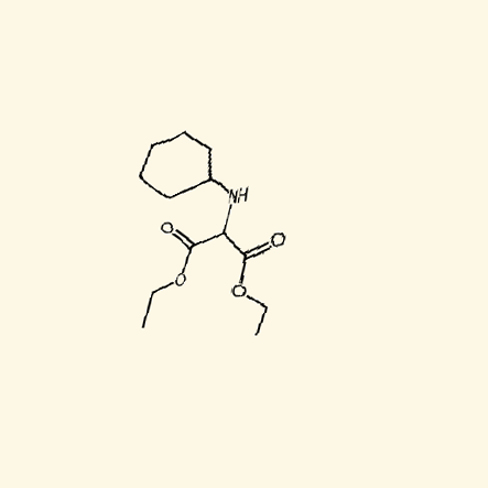 CCOC(=O)C(NC1CCCCC1)C(=O)OCC